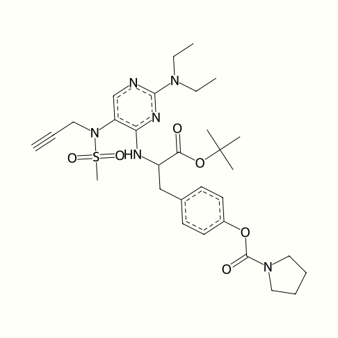 C#CCN(c1cnc(N(CC)CC)nc1NC(Cc1ccc(OC(=O)N2CCCC2)cc1)C(=O)OC(C)(C)C)S(C)(=O)=O